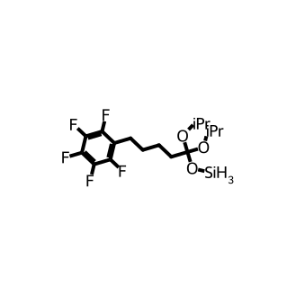 CC(C)OC(CCCCc1c(F)c(F)c(F)c(F)c1F)(O[SiH3])OC(C)C